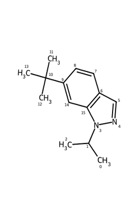 CC(C)n1ncc2ccc(C(C)(C)C)cc21